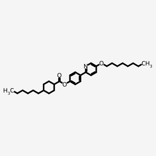 CCCCCCCCOc1ccc(-c2ccc(OC(=O)C3CCC(CCCCCC)CC3)cc2)nc1